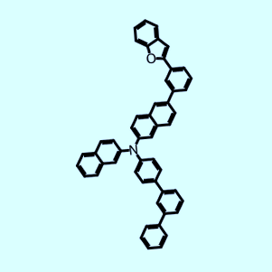 c1ccc(-c2cccc(-c3ccc(N(c4ccc5ccccc5c4)c4ccc5cc(-c6cccc(-c7cc8ccccc8o7)c6)ccc5c4)cc3)c2)cc1